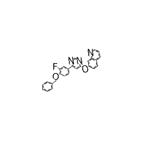 Fc1cc(-c2cc(Oc3ccc4cccnc4c3)ncn2)ccc1OCc1ccccc1